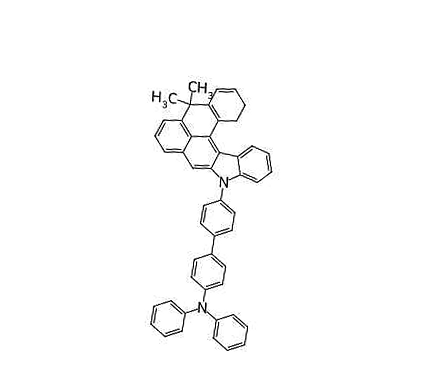 CC1(C)C2=C(CCC=C2)c2c3c1cccc3cc1c2c2ccccc2n1-c1ccc(-c2ccc(N(c3ccccc3)c3ccccc3)cc2)cc1